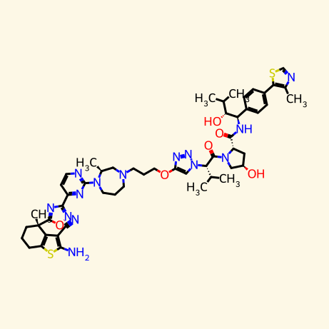 Cc1ncsc1-c1ccc([C@@H](NC(=O)[C@@H]2C[C@@H](O)CN2C(=O)[C@H](C(C)C)n2cc(OCCCN3CCCN(c4nccc(-c5noc([C@@]6(C)CCCc7sc(N)c(C#N)c76)n5)n4)[C@@H](C)C3)nn2)[C@H](O)C(C)C)cc1